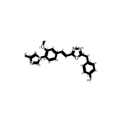 COc1cc(C=Cc2nnc(Cc3ccc(F)cc3)o2)ccc1-n1cnc(C)c1